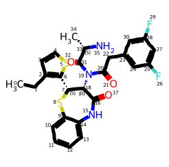 CCc1ccsc1[C@H]1Sc2ccccc2NC(=O)[C@H]1N(C(=O)Cc1cc(F)cc(F)c1)C(=O)[C@H](C)N